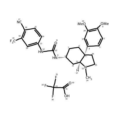 COc1ccc([C@@]23CC[C@@H](NC(=O)Nc4ccc(C#N)c(C(F)(F)F)c4)C[C@@H]2N(C)CC3)cc1OC.O=C(O)C(F)(F)F